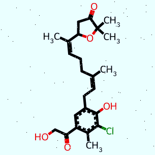 CC(=CCc1cc(C(=O)CO)c(C)c(Cl)c1O)CCC=C(C)C1CC(=O)C(C)(C)O1